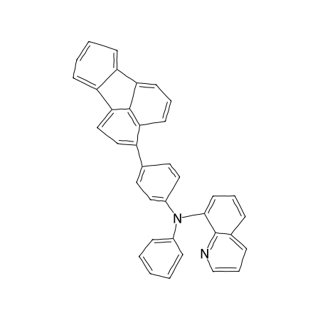 c1ccc(N(c2ccc(-c3ccc4c5c(cccc35)-c3ccccc3-4)cc2)c2cccc3cccnc23)cc1